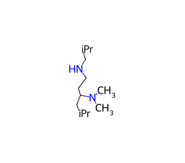 CC(C)CNCCC(CC(C)C)N(C)C